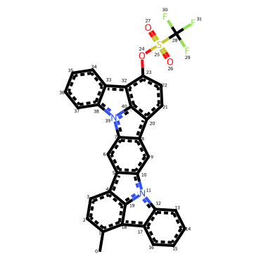 Cc1ccc2c3cc4c(cc3n3c5ccccc5c1c23)c1ccc(OS(=O)(=O)C(F)(F)F)c2c3ccccc3n4c12